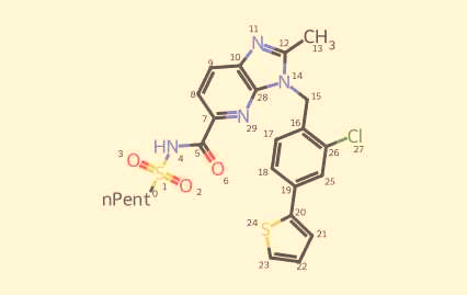 CCCCCS(=O)(=O)NC(=O)c1ccc2nc(C)n(Cc3ccc(-c4cccs4)cc3Cl)c2n1